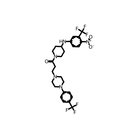 O=C(CCN1CCN(c2ccc(C(F)(F)F)cc2)CC1)N1CCC(Nc2ccc([N+](=O)[O-])c(C(F)(F)F)c2)CC1